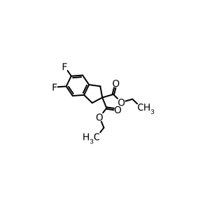 CCOC(=O)C1(C(=O)OCC)Cc2cc(F)c(F)cc2C1